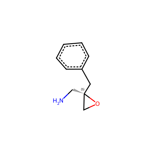 NC[C@@]1(Cc2ccccc2)CO1